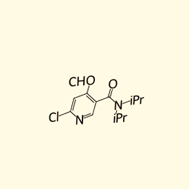 CC(C)N(C(=O)c1cnc(Cl)cc1C=O)C(C)C